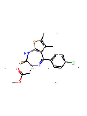 COC(=O)C[C@H]1N=C(c2ccc(Cl)cc2)c2c(sc(C)c2C)NC1=S